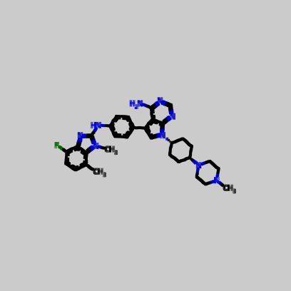 Cc1ccc(F)c2nc(Nc3ccc(-c4cn([C@H]5CC[C@H](N6CCN(C)CC6)CC5)c5ncnc(N)c45)cc3)n(C)c12